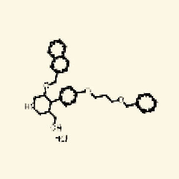 Cl.OCC1CNCC(OCc2ccc3ccccc3c2)C1c1ccc(OCCCOCc2ccccc2)cc1